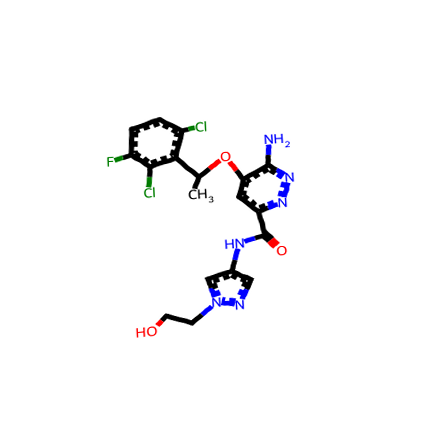 CC(Oc1cc(C(=O)Nc2cnn(CCO)c2)nnc1N)c1c(Cl)ccc(F)c1Cl